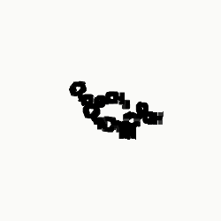 CCOc1cc(CN2CCC(n3nnc4cc(C(=O)O)ccc43)CC2)ccc1OCc1ccccc1